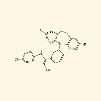 N#C/N=C(/Nc1ccc(Cl)cc1)N1CC=CC(N2c3ccc(F)cc3CCc3cc(F)ccc32)C1